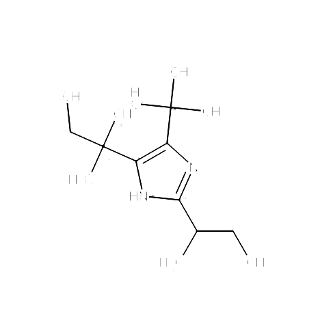 CCC(C)c1nc(C(C)(C)C)c(C(C)(C)CC)[nH]1